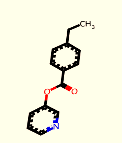 CCc1ccc(C(=O)Oc2cccnc2)cc1